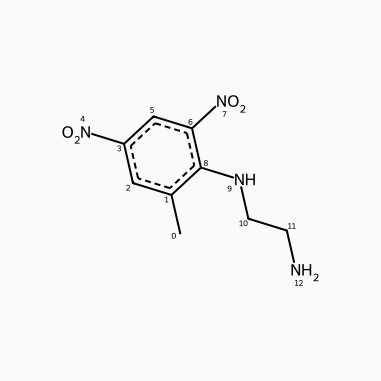 Cc1cc([N+](=O)[O-])cc([N+](=O)[O-])c1NCCN